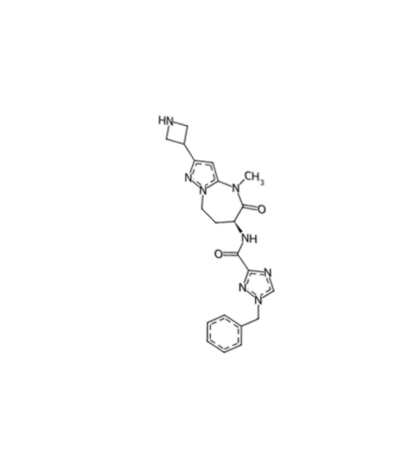 CN1C(=O)[C@@H](NC(=O)c2ncn(Cc3ccccc3)n2)CCn2nc(C3CNC3)cc21